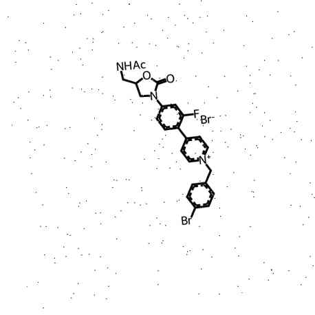 CC(=O)NCC1CN(c2ccc(-c3cc[n+](Cc4ccc(Br)cc4)cc3)c(F)c2)C(=O)O1.[Br-]